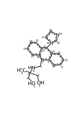 CC(CO)(CO)NCc1c2ccccc2c(-n2ccnc2)c2ccccc12